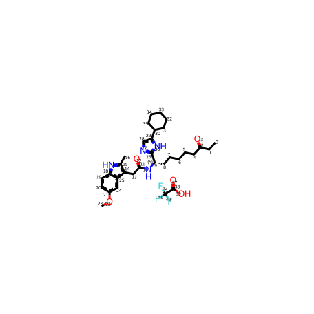 CCC(=O)CCCCC[C@H](NC(=O)Cc1c(C)[nH]c2ccc(OC)cc12)c1ncc(C2CCCCC2)[nH]1.O=C(O)C(F)(F)F